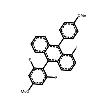 COc1ccc(-c2c3ccccc3c(-c3c(F)cc(OC)cc3F)c3cccc(F)c23)cc1